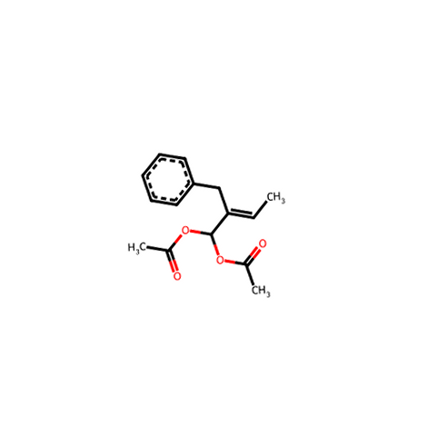 C/C=C(\Cc1ccccc1)C(OC(C)=O)OC(C)=O